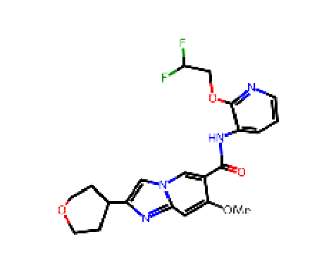 COc1cc2nc(C3CCOCC3)cn2cc1C(=O)Nc1cccnc1OCC(F)F